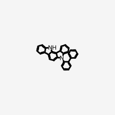 c1ccc(-c2ccccc2-n2c3ccccc3c3c4[nH]c5ccccc5c4ccc32)cc1